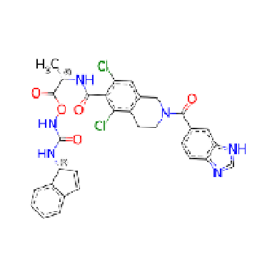 C[C@H](NC(=O)c1c(Cl)cc2c(c1Cl)CCN(C(=O)c1ccc3nc[nH]c3c1)C2)C(=O)ONC(=O)N[C@@H]1C=Cc2ccccc21